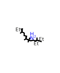 CC/C=C(\C)CC/C=C(\C)C(C)(CN)CC/C=C(\C)C(C)(CC)CC